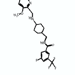 COc1cccnc1CNC1CCC(CNC(=O)c2cc(F)cc(C(F)(F)F)c2)CC1